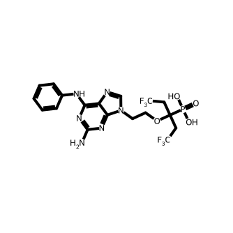 Nc1nc(Nc2ccccc2)c2ncn(CCOC(CC(F)(F)F)(CC(F)(F)F)P(=O)(O)O)c2n1